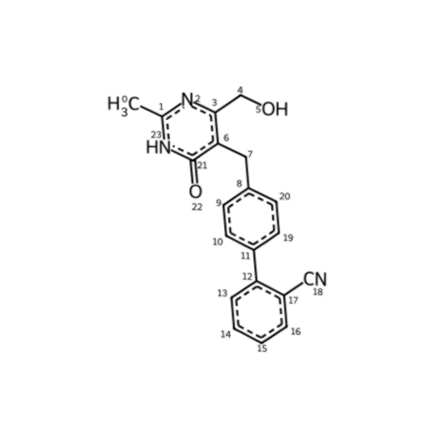 Cc1nc(CO)c(Cc2ccc(-c3ccccc3C#N)cc2)c(=O)[nH]1